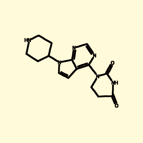 O=C1CCN(c2ncnc3c2ccn3C2CCNCC2)C(=O)N1